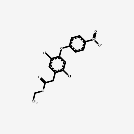 CCOC(=O)Cc1cc(Cl)c(Oc2ccc([N+](=O)[O-])cc2)cc1Cl